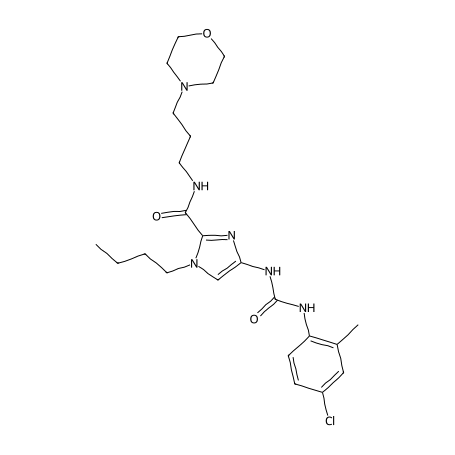 CCCCn1cc(NC(=O)Nc2ccc(Cl)cc2C)nc1C(=O)NCCCN1CCOCC1